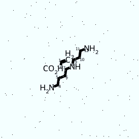 C=CC(=O)O.NCCCCNCCCN